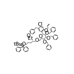 C=CCOc1cc(Cl)c(Cc2ccc(OCC)cc2)cc1[C@@H]1O[C@H](COCCCCCO[Si](c2ccccc2)(c2ccccc2)C(C)(C)C)[C@@H](OCc2ccccc2)[C@@H](OCc2ccccc2)[C@H]1OCc1ccccc1